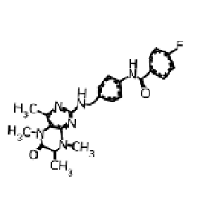 Cc1nc(NCc2ccc(NC(=O)c3ccc(F)cc3)cc2)nc2c1N(C)C(=O)C(C)N2C